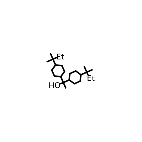 CCC(C)(C)C1CCC(C(C)(O)C2CCC(C(C)(C)CC)CC2)CC1